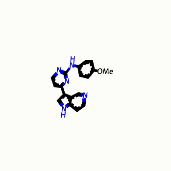 COc1ccc(Nc2nccc(-c3c[nH]c4ccncc34)n2)cc1